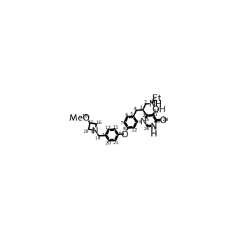 CCNCC(Cc1ccc(Oc2ccc(CN3CC(OC)C3)cc2)cc1)c1nc[nH]c(=O)c1O